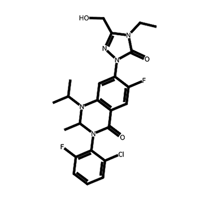 CCn1c(CO)nn(-c2cc3c(cc2F)C(=O)N(c2c(F)cccc2Cl)C(C)N3C(C)C)c1=O